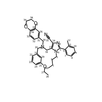 CCCCn1c(-c2ccccc2C)nc(C#N)c1CN(Cc1cccc(OCC)c1)Cc1ccc2c(c1)OCCO2